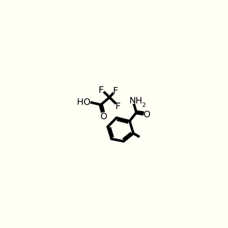 Cc1ccccc1C(N)=O.O=C(O)C(F)(F)F